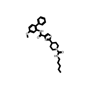 CCCCCNC(=O)N1CCC(c2nc(C(=O)Nc3cc(OC)ccc3-c3ccccc3)cs2)CC1